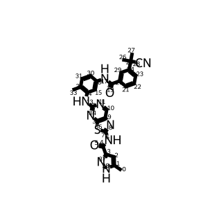 Cc1cc(C(=O)Nc2nc3cnc(Nc4cc(NC(=O)c5cccc(C(C)(C)C#N)c5)ccc4C)nc3s2)n[nH]1